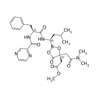 COC(=O)C[C@]1(CC(=O)N(C)C)OB([C@H](CC(C)C)NC(=O)[C@H](Cc2ccccc2)NC(=O)c2cnccn2)OC1=O